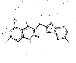 Cc1cc(O)c2c(C)c(Cc3nc4cc(F)ccc4s3)c(=O)[nH]c2c1